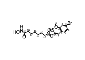 COc1cc(Br)ccc1/C=C1/ON(CCCCCCC(=O)NO)OS1